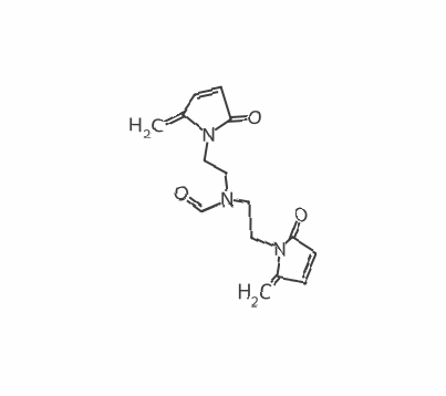 C=C1C=CC(=O)N1CCN(C=O)CCN1C(=C)C=CC1=O